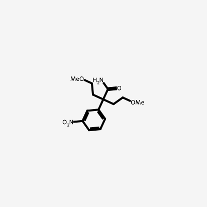 COCCC(CCOC)(C(N)=O)c1cccc([N+](=O)[O-])c1